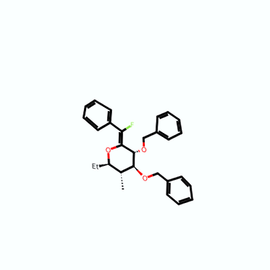 CC[C@H]1OC(=C(F)c2ccccc2)[C@H](OCc2ccccc2)[C@@H](OCc2ccccc2)[C@@H]1C